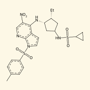 CC[C@@H]1CC(NS(=O)(=O)C2CC2)C[C@@H]1Nc1c([N+](=O)[O-])cnc2c1ccn2S(=O)(=O)c1ccc(C)cc1